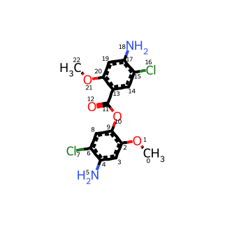 COc1cc(N)c(Cl)cc1OC(=O)c1cc(Cl)c(N)cc1OC